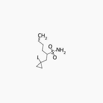 C=CCCC(CC1(I)CC1)S(N)(=O)=O